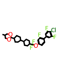 CC1COC(C2CCC(C3CCC(C(F)(F)Oc4ccc(-c5cc(F)c(Cl)c(F)c5)c(F)c4)CC3)CC2)OC1